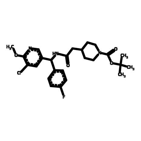 COc1ncc(C(NC(=O)CC2CCN(C(=O)OC(C)(C)C)CC2)c2ccc(F)cc2)cc1Cl